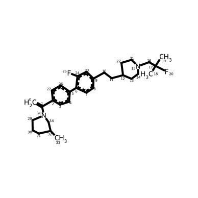 C=C(c1ccc(-c2ccc(CCC3CCN(CC(C)(C)F)CC3)cc2F)cc1)N1CCCC(C)C1